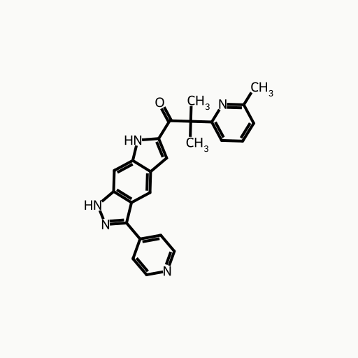 Cc1cccc(C(C)(C)C(=O)c2cc3cc4c(-c5ccncc5)n[nH]c4cc3[nH]2)n1